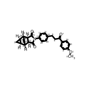 COc1ccc(C(=O)CCc2ccc(N3C(=O)[C@@H]4[C@@H]5C=C[C@@H]([C@H]6C[C@@H]56)[C@@H]4C3=O)cc2)cc1